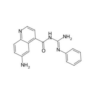 NC(=Nc1ccccc1)NC(=O)c1ccnc2ccc(N)cc12